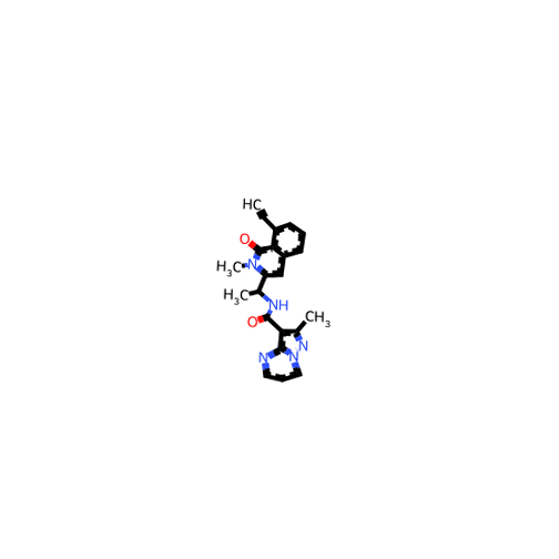 C#Cc1cccc2cc(C(C)NC(=O)c3c(C)nn4cccnc34)n(C)c(=O)c12